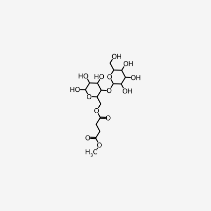 COC(=O)CCC(=O)OCC1OC(O)C(O)C(O)C1OC1OC(CO)C(O)C(O)C1O